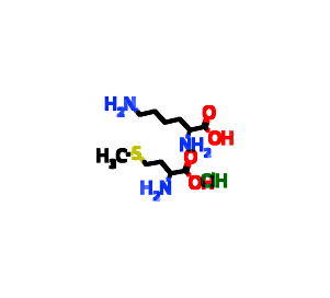 CSCC[C@H](N)C(=O)O.Cl.NCCCC[C@H](N)C(=O)O